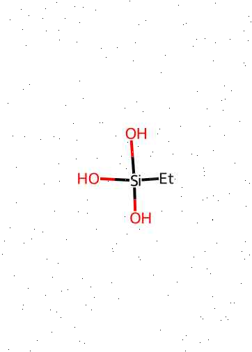 [CH2]C[Si](O)(O)O